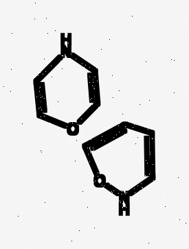 C1=CNOC=C1.C1=COC=CN1